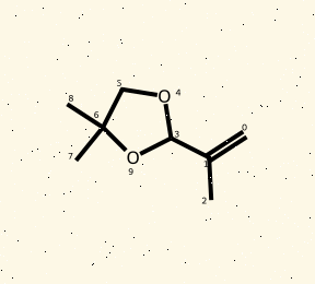 C=C(C)C1OCC(C)(C)O1